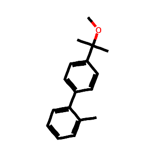 COC(C)(C)c1ccc(-c2ccccc2C)cc1